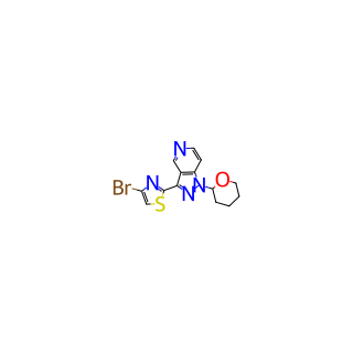 Brc1csc(-c2nn(C3CCCCO3)c3ccncc23)n1